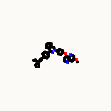 CC[Si](C#Cc1ccc(C2=NN(c3ccc(Oc4ccnc5cc(OC)cnc45)cc3)Cc3ccccc32)cc1)(CC)CC